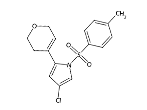 Cc1ccc(S(=O)(=O)n2cc(Cl)cc2C2=CCOCC2)cc1